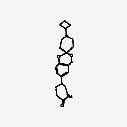 O=C1CCC(c2ccc3c(c2)COC2(CCN(C4CCC4)CC2)O3)CN1